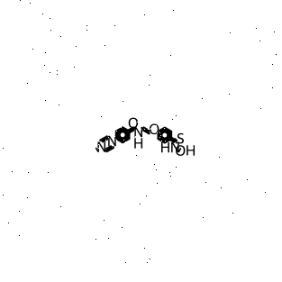 CN1CCN(c2ccc(C(=O)NCCOc3ccc(C(=S)NO)cc3)cc2)CC1